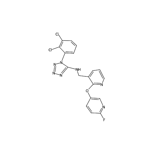 Fc1ccc(Oc2ncccc2CNc2nnnn2-c2cccc(Cl)c2Cl)cn1